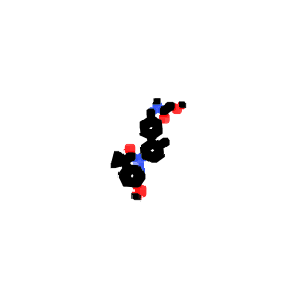 COCC(=O)N(C)Cc1ccc(-c2cc(NC(=O)C3(c4ccc(OC)cc4)CC3)ccc2C)cc1